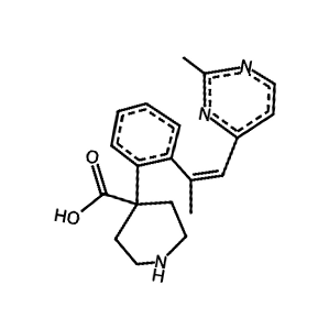 CC(=Cc1ccnc(C)n1)c1ccccc1C1(C(=O)O)CCNCC1